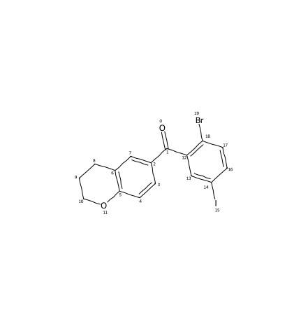 O=C(c1ccc2c(c1)CCCO2)c1cc(I)ccc1Br